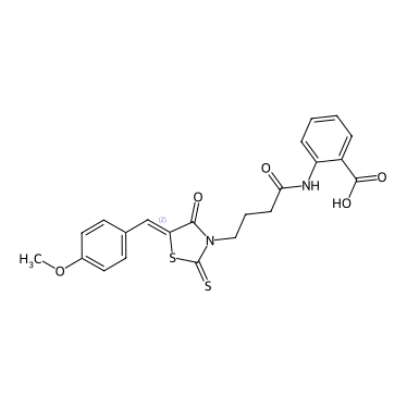 COc1ccc(/C=C2\SC(=S)N(CCCC(=O)Nc3ccccc3C(=O)O)C2=O)cc1